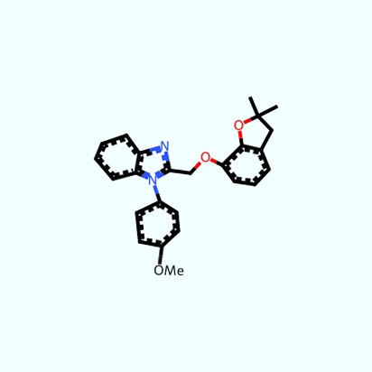 COc1ccc(-n2c(COc3cccc4c3OC(C)(C)C4)nc3ccccc32)cc1